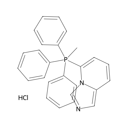 CP(c1ccccc1)(c1ccccc1)(c1ccccc1)c1cccc2cncn12.Cl